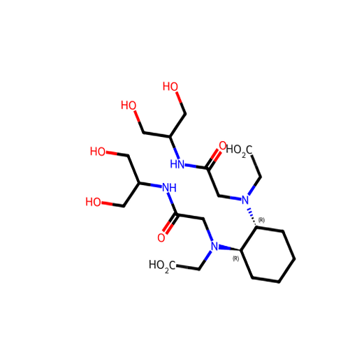 O=C(O)CN(CC(=O)NC(CO)CO)[C@@H]1CCCC[C@H]1N(CC(=O)O)CC(=O)NC(CO)CO